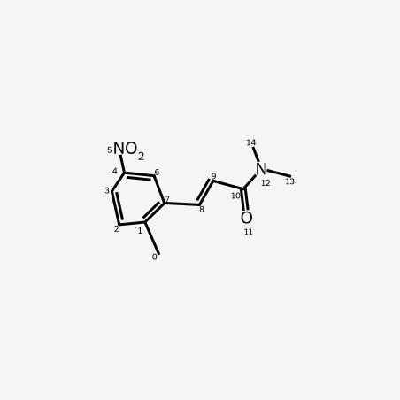 Cc1ccc([N+](=O)[O-])cc1/C=C/C(=O)N(C)C